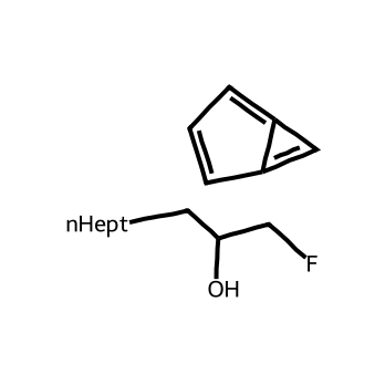 CCCCCCCCC(O)CF.c1cc2cc-2c1